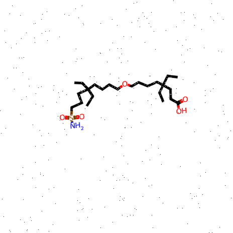 CCC(CC)(CCCCOCCCCC(CC)(CC)CCC(=O)O)CCCS(N)(=O)=O